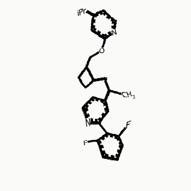 CC(C)c1ccnc(OCC2CCC2CC(C)c2ccnc(-c3c(F)cccc3F)c2)c1